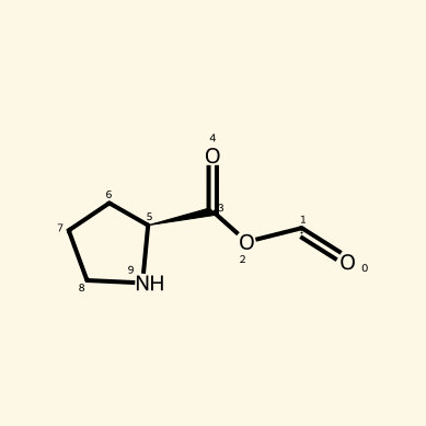 O=[C]OC(=O)[C@@H]1CCCN1